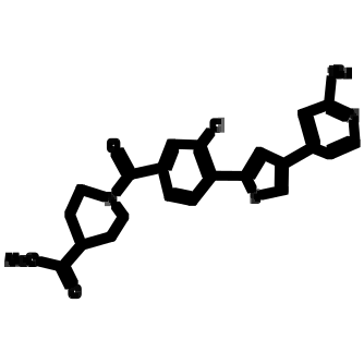 COC(=O)C1CCN(C(=O)c2ccc(-c3cc(-c4ccnc(C(C)(C)C)c4)cs3)c(Cl)c2)CC1